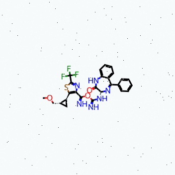 COC[C@H]1C[C@@H]1c1sc(C(F)(F)F)nc1C(=N)OC(=N)N[C@H]1N=C(c2ccccc2)c2ccccc2NC1=O